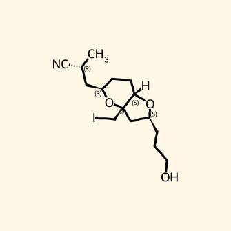 C[C@@H](C#N)C[C@H]1CC[C@@H]2O[C@@H](CCCO)C[C@]2(CI)O1